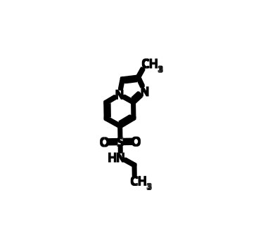 CCNS(=O)(=O)c1ccn2cc(C)nc2c1